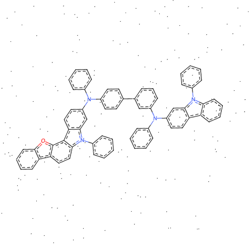 c1ccc(N(c2cccc(-c3ccc(N(c4ccccc4)c4ccc5c6c7oc8ccccc8c7ccc6n(-c6ccccc6)c5c4)cc3)c2)c2ccc3c4ccccc4n(-c4ccccc4)c3c2)cc1